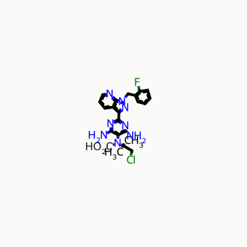 CC(C)(CCl)N(C(=O)O)c1c(N)nc(-c2nn(Cc3ccccc3F)c3ncccc23)nc1N